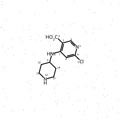 O=C(O)c1cnc(Cl)cc1NC1CCNCC1